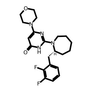 O=c1cc(N2CCOCC2)nc(N2CCCCC[C@@H]2Cc2cccc(F)c2F)[nH]1